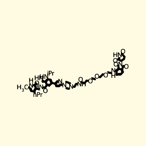 CCCc1cc(C)[nH]c(=O)c1CNC(=O)c1cc(-c2ccc(N3CCN(CCNC(=O)CCOCCOCCOCCNc4cccc5c4C(=O)N(C4CCC(=O)NC4=O)C5=O)CC3)nc2)cc(NC(C)C)c1C=N